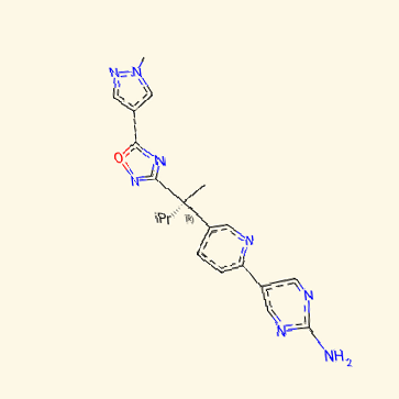 CC(C)[C@](C)(c1ccc(-c2cnc(N)nc2)nc1)c1noc(-c2cnn(C)c2)n1